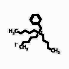 CCCCC[N+](CCCCC)(CCCCC)Cc1ccccc1.[I-]